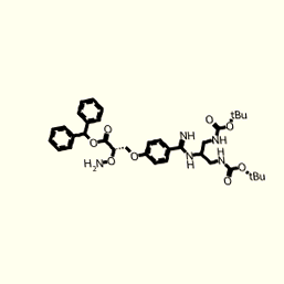 CC(C)(C)OC(=O)NCC(CNC(=O)OC(C)(C)C)NC(=N)c1ccc(OC[C@H](ON)C(=O)OC(c2ccccc2)c2ccccc2)cc1